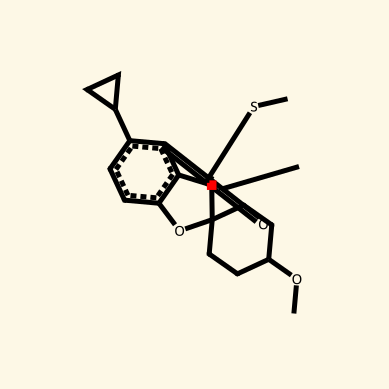 COC1CCC2(CC1)Oc1ccc(C3CC3)cc1C21N=C(SC)N(C)C1=O